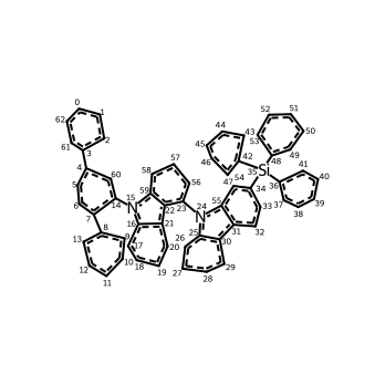 c1ccc(-c2ccc(-c3ccccc3)c(-n3c4ccccc4c4c(-n5c6ccccc6c6ccc([Si](c7ccccc7)(c7ccccc7)c7ccccc7)cc65)cccc43)c2)cc1